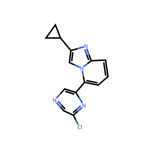 Clc1cncc(-c2cccc3nc(C4CC4)cn23)n1